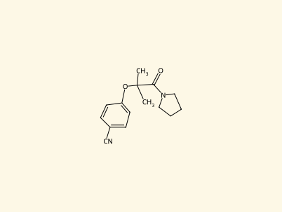 CC(C)(Oc1ccc(C#N)cc1)C(=O)N1CCCC1